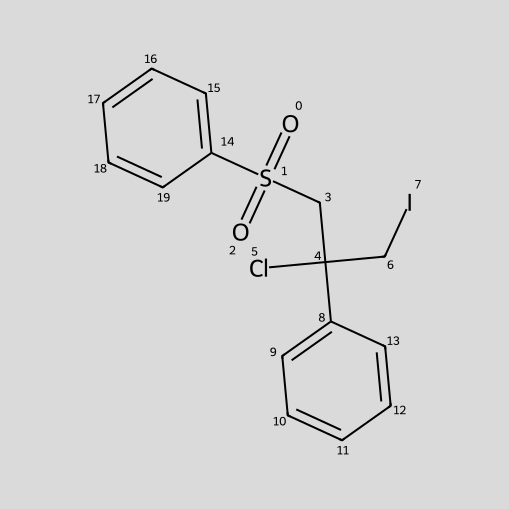 O=S(=O)(CC(Cl)(CI)c1ccccc1)c1ccccc1